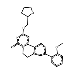 COc1ccccc1-c1ccc2c(c1)CCn1c-2cc(OCC2CCCO2)nc1=O